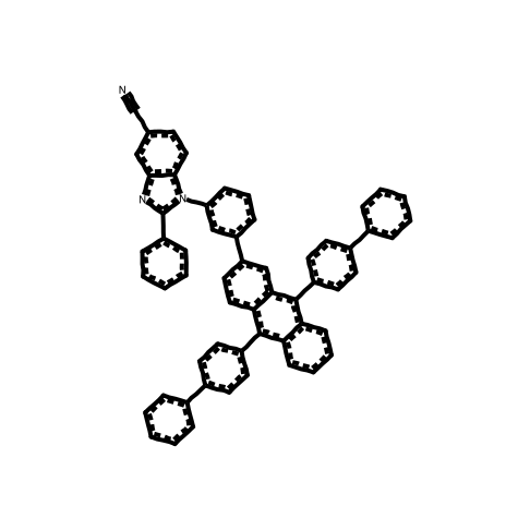 N#Cc1ccc2c(c1)nc(-c1ccccc1)n2-c1cccc(-c2ccc3c(-c4ccc(-c5ccccc5)cc4)c4ccccc4c(-c4ccc(-c5ccccc5)cc4)c3c2)c1